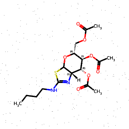 CCCCNC1=N[C@@H]2C(O[C@H](COC(C)=O)[C@@H](OC(C)=O)[C@@H]2OC(C)=O)S1